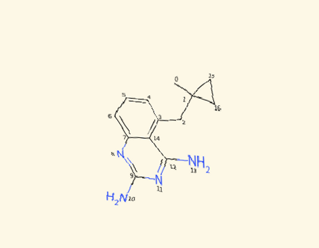 CC1(Cc2cccc3nc(N)nc(N)c23)CC1